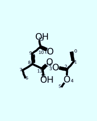 C=CC(=O)OC.CC/C(=C/C(=O)O)C(=O)O